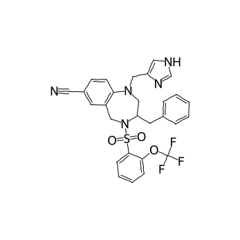 N#Cc1ccc2c(c1)CN(S(=O)(=O)c1ccccc1OC(F)(F)F)C(Cc1ccccc1)CN2Cc1c[nH]cn1